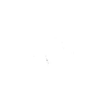 CC[C@H](N)c1ccnc(C)c1S